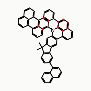 CC1(C)c2ccc(-c3cccc4ccccc34)cc2-c2cc(-c3cccc4ccccc34)c(N(c3ccc(-c4cccc5cccc(-c6ccccc6)c45)cc3)c3ccccc3-c3ccccc3)cc21